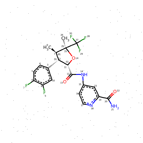 C[C@@H]1[C@@H](c2ccc(F)c(F)c2)[C@@H](C(=O)Nc2ccnc(C(N)=O)c2)O[C@]1(C)C(F)(F)F